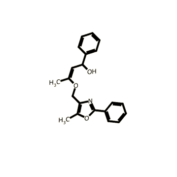 CC(=CC(O)c1ccccc1)OCc1nc(-c2ccccc2)oc1C